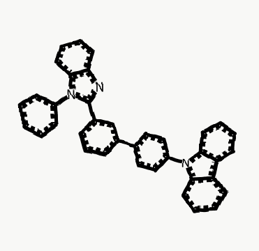 c1ccc(-n2c(-c3cccc(-c4ccc(-n5c6ccccc6c6ccccc65)cc4)c3)nc3ccccc32)cc1